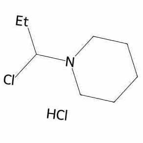 CCC(Cl)N1CCCCC1.Cl